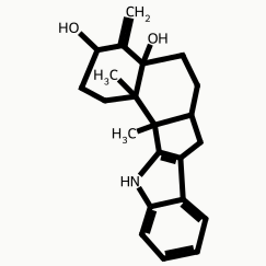 C=C1C(O)CCC2(C)C1(O)CCC1Cc3c([nH]c4ccccc34)C12C